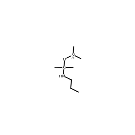 CCCN[Si](C)(C)O[SiH](C)C